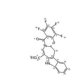 CCOC(=O)C1=CN(C(=O)c2c(F)c(F)c(F)c(F)c2F)CCc2c1[nH]c1ccccc21